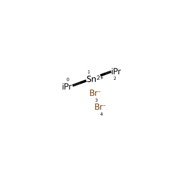 C[CH](C)[Sn+2][CH](C)C.[Br-].[Br-]